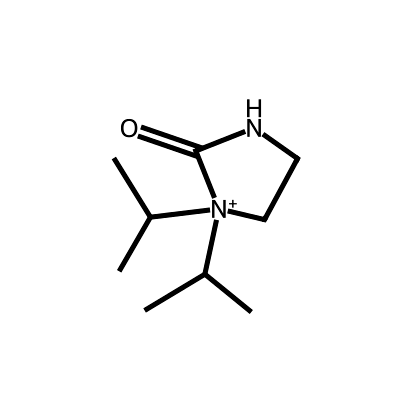 CC(C)[N+]1(C(C)C)CCNC1=O